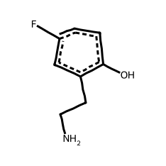 NCCc1cc(F)ccc1O